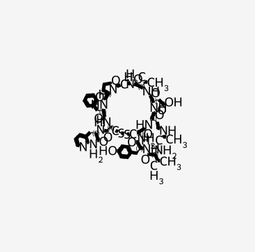 CC(C)NCC[C@@H]1NC(=O)[C@@H](NC(=O)[C@H](Cc2ccc(O)cc2)NC(=O)[C@@H](N)C(C)C)CSSC[C@@H](C(=O)N[C@@H](Cc2cccnc2)C(N)=O)NC(=O)[C@H](Cc2ccccc2)NC(=O)[C@@H]2CCCN2C(=O)CNC(=O)[C@H](C(C)C)NC(=O)[C@H](CC(=O)O)NC1=O